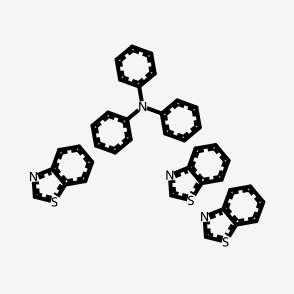 c1ccc(N(c2ccccc2)c2ccccc2)cc1.c1ccc2scnc2c1.c1ccc2scnc2c1.c1ccc2scnc2c1